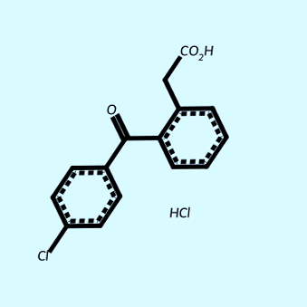 Cl.O=C(O)Cc1ccccc1C(=O)c1ccc(Cl)cc1